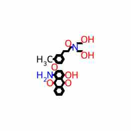 Cc1cc(CCC(=O)N(CCO)CCO)ccc1Oc1cc(O)c2c(c1N)C(=O)c1ccccc1C2=O